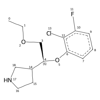 CCOC[C@@H](Oc1cccc(F)c1Cl)C1CCNC1